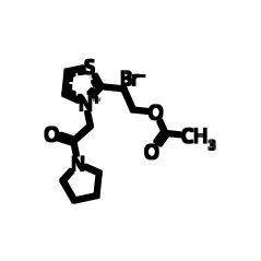 CC(=O)OCCc1scc[n+]1CC(=O)N1CCCC1.[Br-]